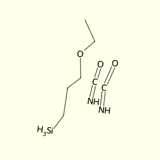 CCOCCC[SiH3].N=C=O.N=C=O